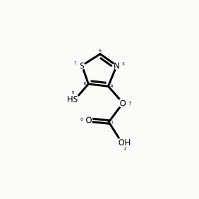 O=C(O)Oc1ncsc1S